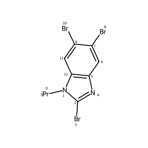 CC(C)n1c(Br)nc2cc(Br)c(Br)cc21